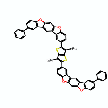 CCCCc1c(-c2ccc3oc4cc5oc6ccc(-c7ccccc7)cc6c5cc4c3c2)sc2c(CCCC)c(-c3ccc4oc5cc6oc7ccc(-c8ccccc8)cc7c6cc5c4c3)sc12